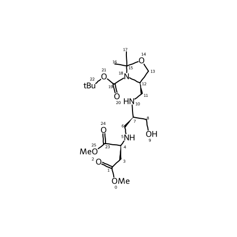 COC(=O)C[C@H](NC[C@H](CO)NC[C@@H]1COC(C)(C)N1C(=O)OC(C)(C)C)C(=O)OC